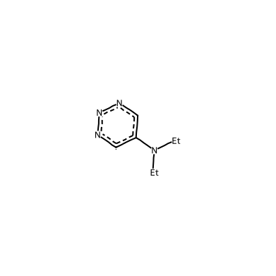 CCN(CC)c1[c]nnnc1